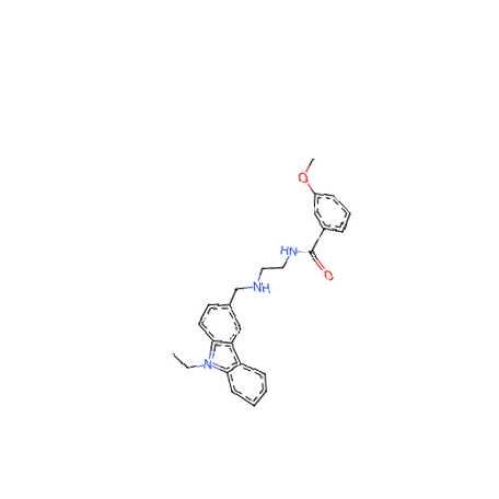 CCn1c2ccccc2c2cc(CNCCNC(=O)c3cccc(OC)c3)ccc21